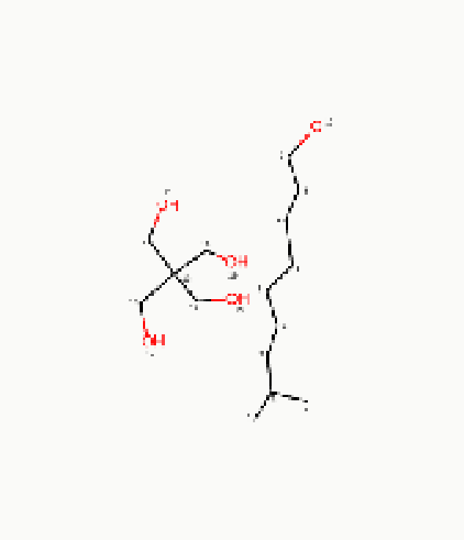 CC(C)CCCCCCC[O].OCC(CO)(CO)CO